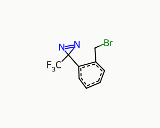 FC(F)(F)C1(c2ccccc2CBr)N=N1